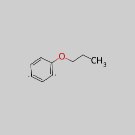 CCCOc1[c]c[c]cc1